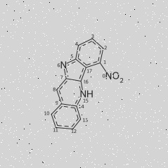 O=[N+]([O-])c1cccc2nc3cc4ccccc4[nH]c-3c12